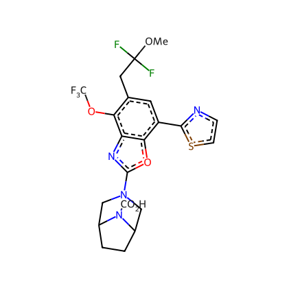 COC(F)(F)Cc1cc(-c2nccs2)c2oc(N3CC4CCC(C3)N4C(=O)O)nc2c1OC(F)(F)F